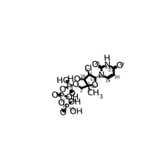 C[C@]1(COP(=O)(O)OP(=O)(O)OP(=O)(O)O)O[C@@H](n2ccc(=O)[nH]c2=O)[C@H](Cl)[C@@H]1O